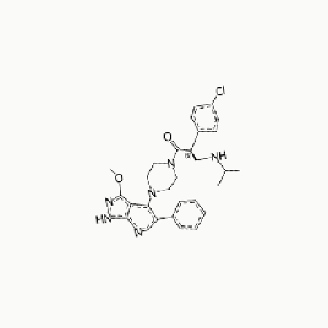 COc1n[nH]c2ncc(-c3ccccc3)c(N3CCN(C(=O)[C@H](CNC(C)C)c4ccc(Cl)cc4)CC3)c12